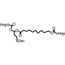 CCCCCCCCCCCCC(OC(=O)CCCCCCC)OC(=O)CCCCCCCCCOC(=O)CCCCCCC